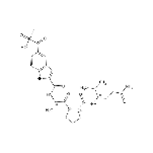 CC(C)[C@H](CCC(N)=O)NC(=O)[C@@H]1CCCN1C(=O)[C@H](C)NC(=O)c1cc2cc(C(=O)P(=O)(O)O)ccc2[nH]1